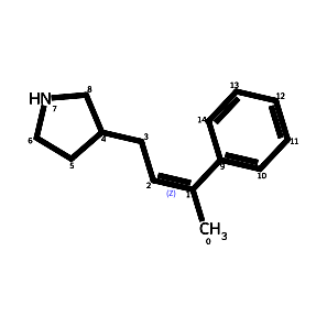 C/C(=C/CC1CCNC1)c1ccccc1